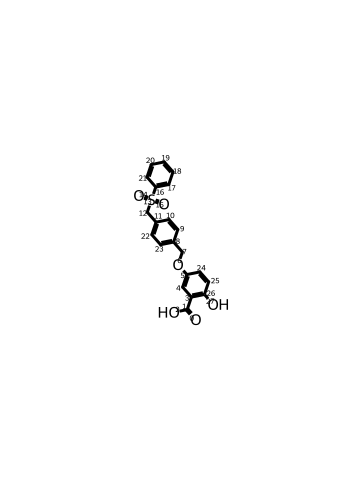 O=C(O)c1cc(OCc2ccc(CS(=O)(=O)c3ccccc3)cc2)ccc1O